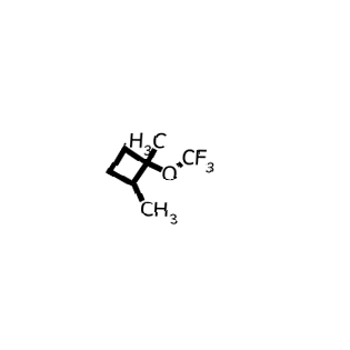 CC1C[CH]C1(C)OC(F)(F)F